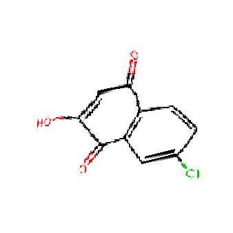 O=C1C=C(O)C(=O)c2cc(Cl)ccc21